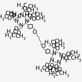 CC(C)(C)OC(=O)CN1CCN(CC(=O)OC(C)(C)C)CCN(CC(=O)OC(C)(C)C)C(c2ccc(COCCCCCCOCc3ccc(C4CN(CC(=O)OC(C)(C)C)CCN(CC(=O)OC(C)(C)C)CCN(CC(=O)OC(C)(C)C)CCN4CC(=O)OC(C)(C)C)cc3)cc2)CN(CC(=O)OC(C)(C)C)CC1